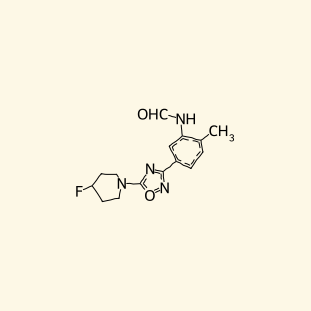 Cc1ccc(-c2noc(N3CCC(F)CC3)n2)cc1NC=O